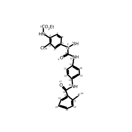 CCOC(=O)Nc1ccc(N(S)C(=O)Nc2ccc(NC(=O)c3ccccc3F)cc2)cc1Cl